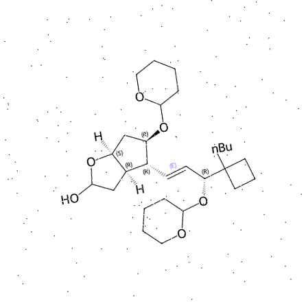 CCCCC1([C@@H](/C=C/[C@@H]2[C@H]3CC(O)O[C@H]3C[C@H]2OC2CCCCO2)OC2CCCCO2)CCC1